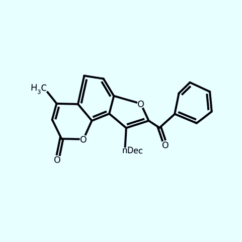 CCCCCCCCCCc1c(C(=O)c2ccccc2)oc2ccc3c(C)cc(=O)oc3c12